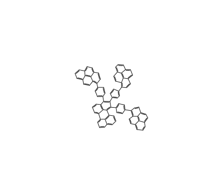 c1cc2ccc3ccc(-c4ccc(-c5c(-c6ccc(-c7ccc8ccc9cccc%10ccc7c8c9%10)cc6)c6cccc7c8cccc9cccc(c(c5-c5ccc(-c%10ccc%11ccc%12cccc%13ccc%10c%11c%12%13)cc5)c67)c98)cc4)c4ccc(c1)c2c34